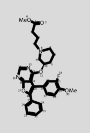 COC(=O)CCCN1CCC[C@@H](Oc2ncnc3oc(-c4ccccc4)c(-c4ccc(OC)c(F)c4)c23)C1